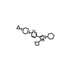 c1cc(N2CCN(C3CC3)CC2)ncc1-c1cn(C2CCCCC2)nc1C1CCC1